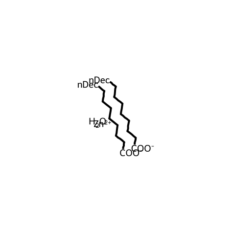 CCCCCCCCCCCCCCCCCC(=O)[O-].CCCCCCCCCCCCCCCCCC(=O)[O-].O.[Zn+2]